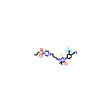 CCCS(=O)(=O)N1CCN(CCCCN2C(=S)N(c3ccc(C#N)c(C(F)(F)F)c3)C(=O)C2(C)C)CC1